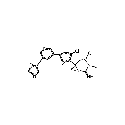 CN1C(=N)N[C@](C)(c2sc(-c3cncc(-c4cnco4)c3)cc2Cl)C[S+]1[O-]